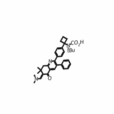 CN(C)C=C1C(=O)c2cc(-c3ccccc3)c(-c3ccc(C4(N(C(=O)O)C(C)(C)C)CCC4)cc3)nc2CC1(C)C